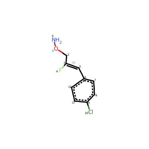 NOC/C(F)=C/c1ccc(Cl)cc1